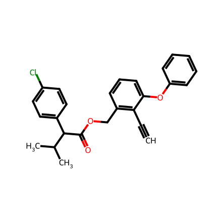 C#Cc1c(COC(=O)C(c2ccc(Cl)cc2)C(C)C)cccc1Oc1ccccc1